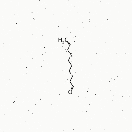 C=CCSCCCCCC=O